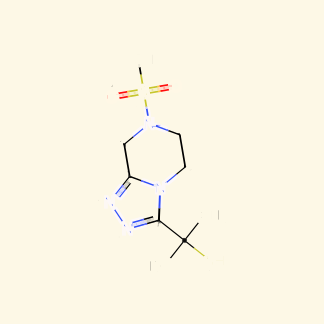 CC(C)(S)c1nnc2n1CCN(S(C)(=O)=O)C2